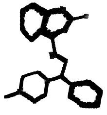 CN1CCN(C(CNc2nc(Cl)nc3ccccc23)c2ccccc2)CC1